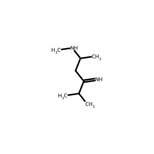 CNC(C)CC(=N)C(C)C